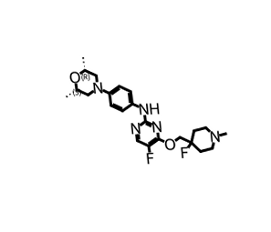 C[C@@H]1CN(c2ccc(Nc3ncc(F)c(OCC4(F)CCN(C)CC4)n3)cc2)C[C@H](C)O1